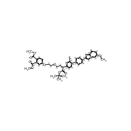 COC(=O)c1ccc(OCCOCCN(C(=O)OC(C)(C)C)c2ccc(-c3ccc(-c4cn5cc(OC)ccc5n4)cc3)c(F)n2)cc1C(=O)OC